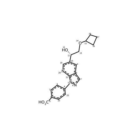 O=C(O)c1ccc(-n2ncc3cc([C@H](O)COC4CCC4)cnc32)cc1